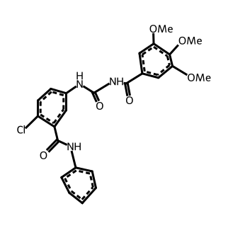 COc1cc(C(=O)NC(=O)Nc2ccc(Cl)c(C(=O)Nc3ccccc3)c2)cc(OC)c1OC